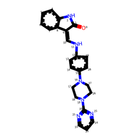 O=C1Nc2ccccc2C1=CNc1ccc(N2CCN(c3ncccn3)CC2)cc1